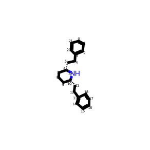 c1ccc(CC[C@H]2CCC[C@@H](CCc3ccccc3)N2)cc1